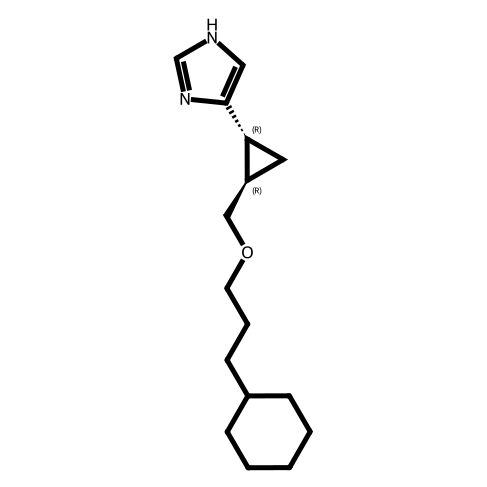 c1nc([C@@H]2C[C@H]2COCCCC2CCCCC2)c[nH]1